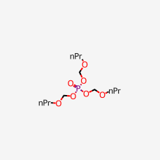 CCCOCOP(=O)(OCOCCC)OCOCCC